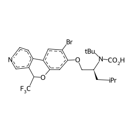 CC(C)C[C@@H](COc1cc2c(cc1Br)-c1ccncc1C(C(F)(F)F)O2)N(C(=O)O)C(C)(C)C